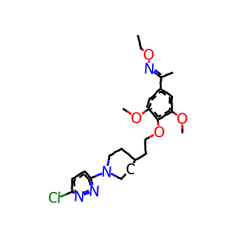 CCON=C(C)c1cc(OC)c(OCCC2CCN(c3ccc(Cl)nn3)CC2)c(OC)c1